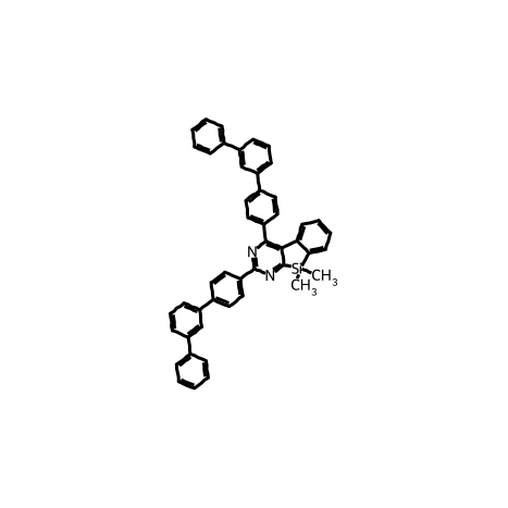 C[Si]1(C)c2ccccc2-c2c(-c3ccc(-c4cccc(-c5ccccc5)c4)cc3)nc(-c3ccc(-c4cccc(-c5ccccc5)c4)cc3)nc21